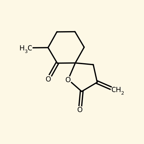 C=C1CC2(CCCC(C)C2=O)OC1=O